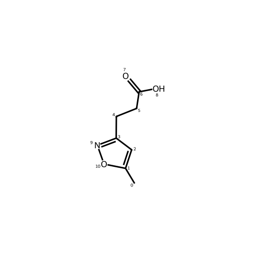 Cc1cc(CCC(=O)O)no1